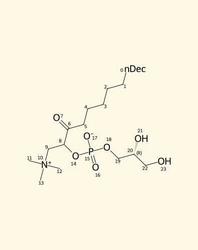 CCCCCCCCCCCCCCCC(=O)C(C[N+](C)(C)C)OP(=O)([O-])OC[C@H](O)CO